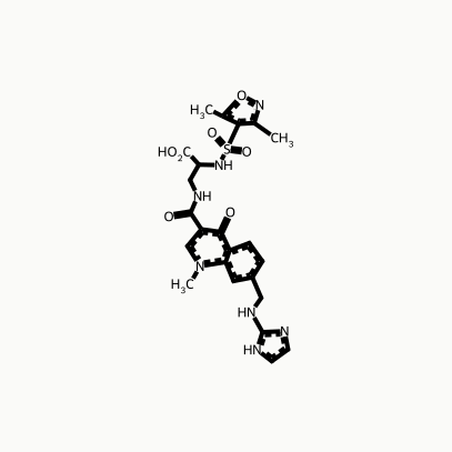 Cc1noc(C)c1S(=O)(=O)NC(CNC(=O)c1cn(C)c2cc(CNc3ncc[nH]3)ccc2c1=O)C(=O)O